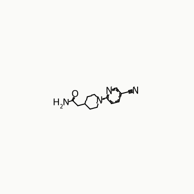 N#Cc1ccc(N2CCC(CC(N)=O)CC2)nc1